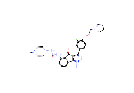 CN1CCN(NC(=O)Nc2cccc3c2C(=O)c2c(-c4ccc(OCCN5CCCC5)c(F)c4)n[nH]c2-3)CC1